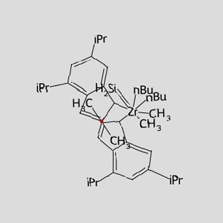 CCC[CH2][Zr]([CH3])([CH3])(=[SiH2])([CH2]CCC)([CH]1C(C)=Cc2c(C(C)C)cc(C(C)C)cc21)[CH]1C(C)=Cc2c(C(C)C)cc(C(C)C)cc21